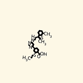 CCCSc1cc(-c2cc(NCCc3c(C)sc4c(C)cccc34)ncn2)ccc1C(=O)O